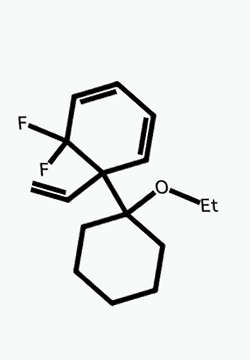 C=CC1(C2(OCC)CCCCC2)C=CC=CC1(F)F